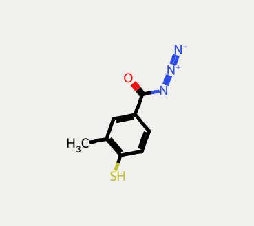 Cc1cc(C(=O)N=[N+]=[N-])ccc1S